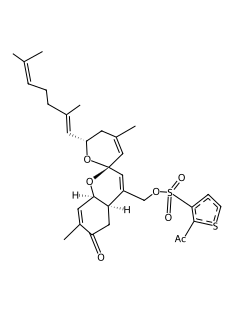 CC(=O)c1sccc1S(=O)(=O)OCC1=C[C@]2(C=C(C)C[C@@H](/C=C(\C)CCC=C(C)C)O2)O[C@@H]2C=C(C)C(=O)C[C@H]12